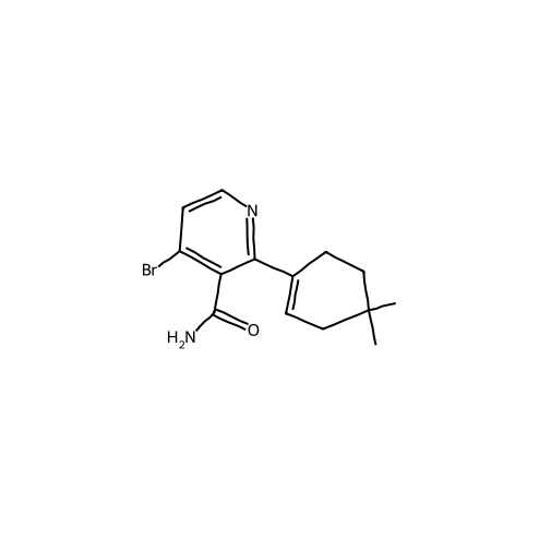 CC1(C)CC=C(c2nccc(Br)c2C(N)=O)CC1